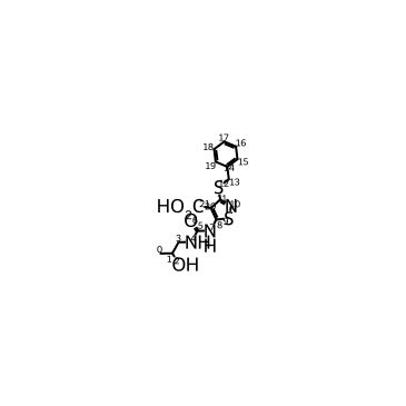 CC(O)CNC(=O)Nc1snc(SCc2ccccc2)c1C(=O)O